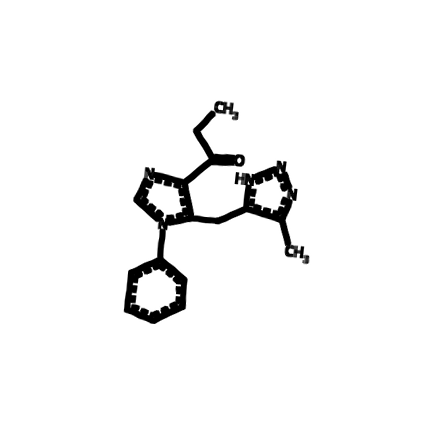 CCC(=O)c1ncn(-c2ccccc2)c1Cc1[nH]nnc1C